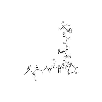 C=C(C)C(=O)OCCOC(=O)NCC1C2CCC1C(CNC(=O)OCCOC(=O)C(C)(C)C)C2